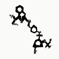 CN(C)c1nc(NC[C@H]2CC[C@H](NS(=O)(=O)c3ccc(Br)cc3OC(F)(F)F)CC2)nc2ccccc12